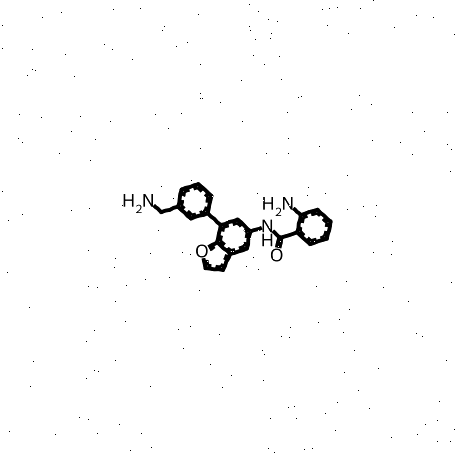 NCc1cccc(-c2cc(NC(=O)c3ccccc3N)cc3ccoc23)c1